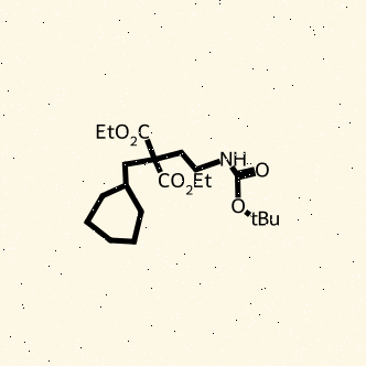 CCOC(=O)C(CCNC(=O)OC(C)(C)C)(CC1CCCCC1)C(=O)OCC